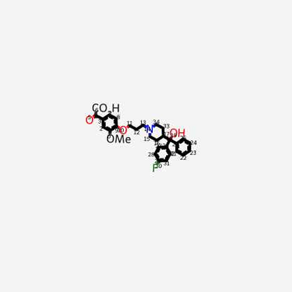 COc1cc(C(=O)C(=O)O)ccc1OCCCN1CCC(C(O)(c2ccccc2)c2ccc(F)cc2)CC1